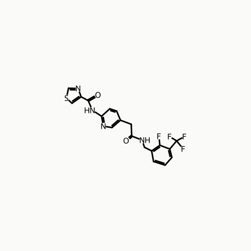 O=C(Cc1ccc(NC(=O)c2cscn2)nc1)NCc1cccc(C(F)(F)F)c1F